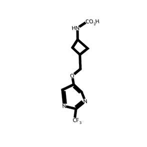 O=C(O)NC1CC(COc2cnc(C(F)(F)F)nc2)C1